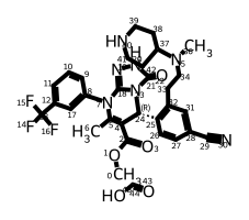 COC(=O)C1=C(C)N(c2cccc(C(F)(F)F)c2)c2n[nH]c(=O)n2[C@@H]1c1ccc(C#N)cc1CCN(C)C1CCNCC1.O=CO